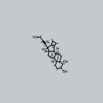 C[C@]12CC[C@H]3[C@@H](CC[C@@]4(O)C[C@@H](O)CC[C@]34C)[C@@H]1[C@@H]1CC[C@@H]1[C@@]2(O)C#CCO